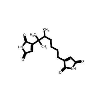 CC(CCCCC1=CC(=O)NC1=O)C(C)(C)C1=CC(=O)NC1=O